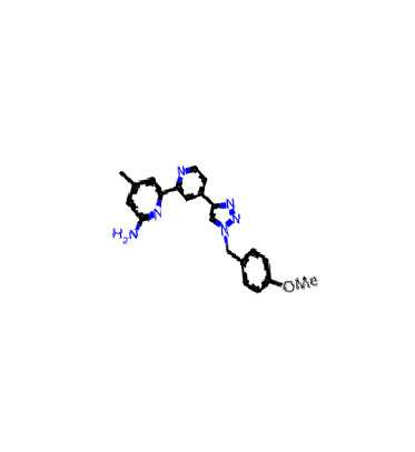 COc1ccc(Cn2cc(-c3ccnc(-c4cc(C)cc(N)n4)c3)nn2)cc1